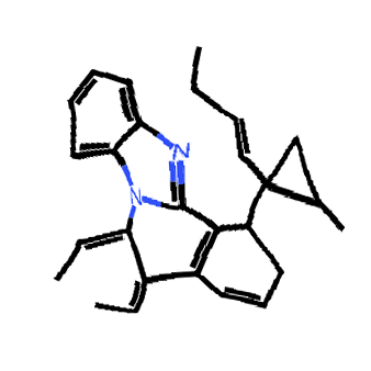 C/C=c1/c2c(c3nc4ccccc4n3/c1=C/C)C(C1(C=CCC)CC1C)CC=C2